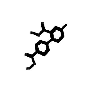 Cc1ccc(-c2ccc(C(=O)OC(C)C)cc2)c(C(=O)OC(C)C)c1